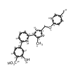 Cc1nc(COc2ccc(F)cn2)sc1-c1cccc(-c2ccc(C(=O)O)c(O)c2)n1